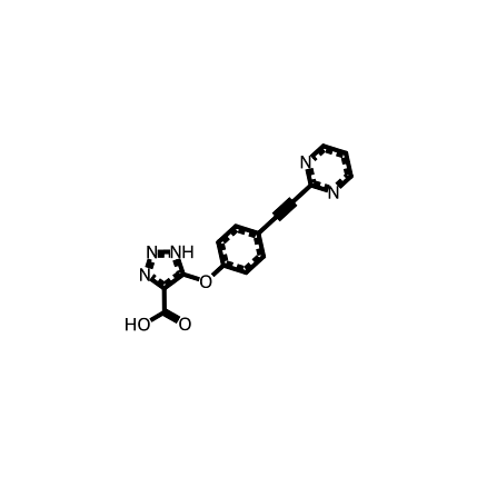 O=C(O)c1nn[nH]c1Oc1ccc(C#Cc2ncccn2)cc1